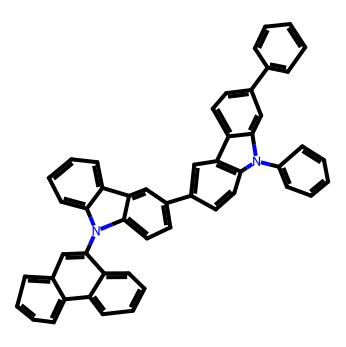 c1ccc(-c2ccc3c4cc(-c5ccc6c(c5)c5ccccc5n6-c5cc6ccccc6c6ccccc56)ccc4n(-c4ccccc4)c3c2)cc1